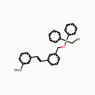 COc1cccc(C=Cc2cccc(CO[Si](CC(C)C)(c3ccccc3)c3ccccc3)c2)c1